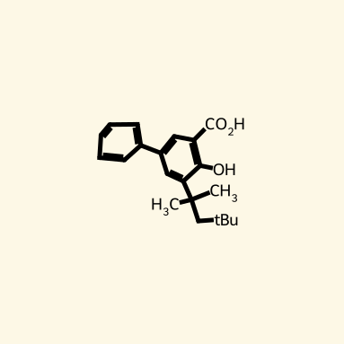 CC(C)(C)CC(C)(C)c1cc(-c2ccccc2)cc(C(=O)O)c1O